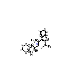 N=C(/C=C(\N)n1c(C(F)F)nc2ccccc21)O[C@H]1CCCC[C@H]1O